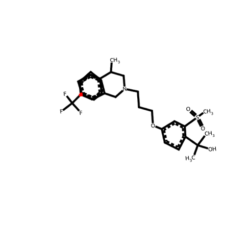 CC(CN(CCCOc1ccc(C(C)(C)O)c(S(C)(=O)=O)c1)Cc1cccc(C(F)(F)F)c1)c1ccccc1